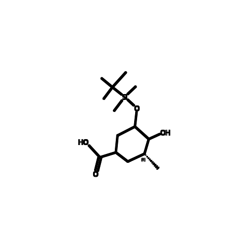 C[C@@H]1CC(C(=O)O)CC(O[Si](C)(C)C(C)(C)C)C1O